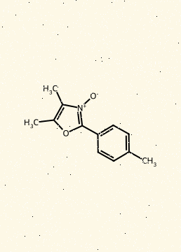 Cc1ccc(-c2oc(C)c(C)[n+]2[O-])cc1